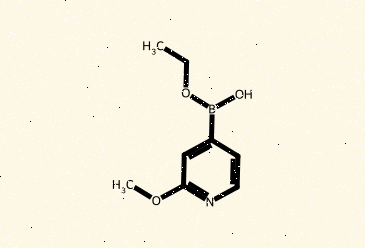 CCOB(O)c1ccnc(OC)c1